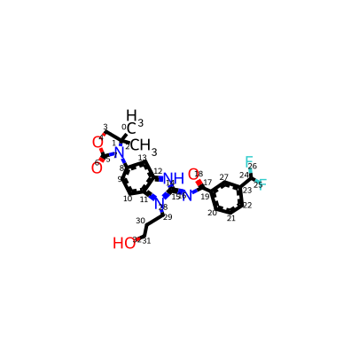 CC1(C)COC(=O)N1c1ccc2c(c1)[nH]/c(=N\C(=O)c1cccc(C(F)F)c1)n2CCCO